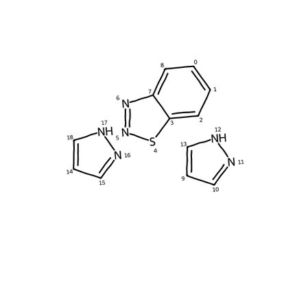 c1ccc2snnc2c1.c1cn[nH]c1.c1cn[nH]c1